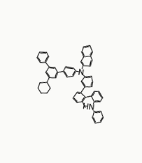 Cc1cccc(-c2cccc(N(c3ccc(-c4cc(-c5ccccc5)cc(C5CCCCC5)c4)cc3)c3ccc4ccccc4c3)c2)c1-c1ccccc1Nc1ccccc1